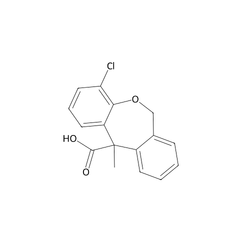 CC1(C(=O)O)c2ccccc2COc2c(Cl)cccc21